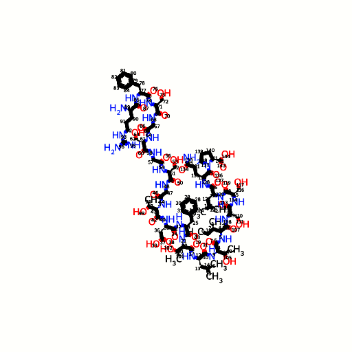 CC[C@H](C)[C@H](NC(=O)[C@@H](NC(=O)[C@H](CC(C)C)NC(=O)[C@@H](NC(=O)[C@H](Cc1ccccc1)NC(=O)[C@H](CC(=O)O)NC(=O)[C@@H](NC(=O)CNC(=O)[C@H](CO)NC(=O)CNC(=O)[C@H](CO)NC(=O)CNC(=O)[C@H](CO)NC(=O)[C@H](Cc1ccccc1)NC(=O)[C@@H](N)CCCNC(=N)N)[C@@H](C)O)[C@@H](C)O)[C@@H](C)O)C(=O)N[C@@H](CO)C(=O)N[C@@H](CO)C(=O)N[C@@H](CC(C)C)C(=O)N[C@@H](CCC(N)=O)C(=O)N1CCC[C@H]1C(=O)O